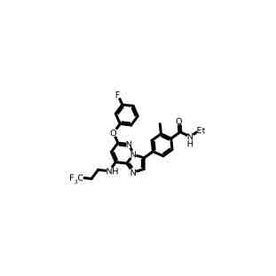 CCNC(=O)c1ccc(-c2cnc3c(NCCC(F)(F)F)cc(Oc4cccc(F)c4)nn23)cc1C